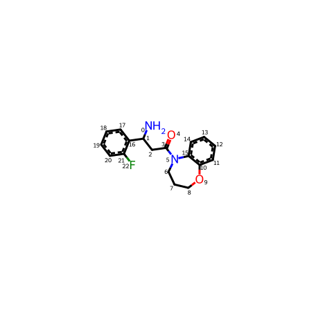 NC(CC(=O)N1CCCOc2ccccc21)c1ccccc1F